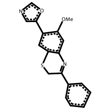 COc1cc2c(cc1-c1cnco1)SCC(c1ccccc1)=N2